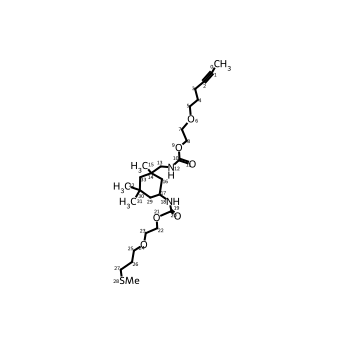 CC#CCCCOCCOC(=O)NCC1(C)CC(NC(=O)OCCOCCCSC)CC(C)(C)C1